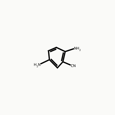 N#Cc1cc(N)[c]cc1N